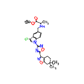 CC(NCc1ccc2c(c1)c(Cl)cn2-c1noc(-c2noc3c2CCC(C)(C)C3)n1)C(=O)OC(C)(C)C